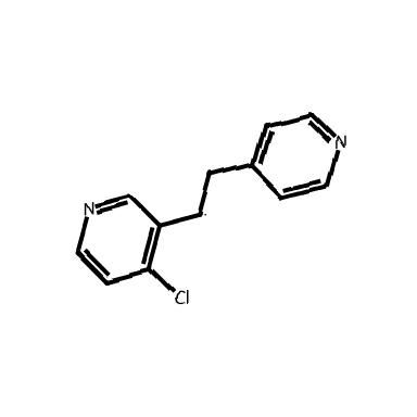 Clc1ccncc1[CH]Cc1ccncc1